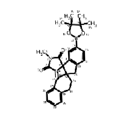 CN1C(=O)NC2(C1=O)c1cc(B3OC(C)(C)C(C)(C)O3)ccc1CC21CCc2ccccc2CC1